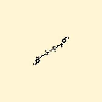 O=Cc1ccc(NCCCCNC(=O)CSSCC(=O)NCCCCNc2ccc(C=O)cc2)cc1